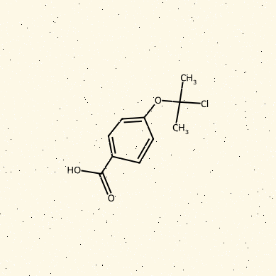 CC(C)(Cl)Oc1ccc(C(=O)O)cc1